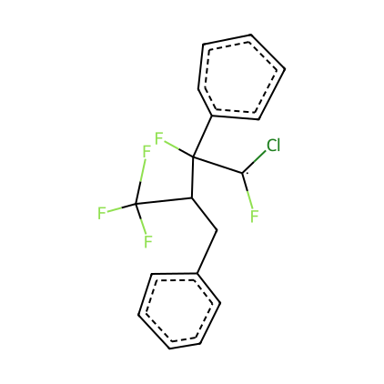 F[C](Cl)C(F)(c1ccccc1)C(Cc1ccccc1)C(F)(F)F